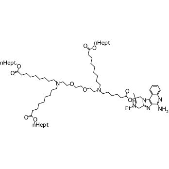 CCCCCCCOC(=O)CCCCCCCCN(CCCCCCCCC(=O)OCCCCCCC)CCOCCOCCN(CCCCCCCCC(=O)OCCCCCCC)CCCCCC(=O)OC(C)(C)Cn1c(CNCC)nc2c(N)nc3ccccc3c21